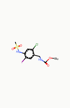 CC(C)(C)OC(=O)NCc1cc(I)c(NS(C)(=O)=O)cc1Cl